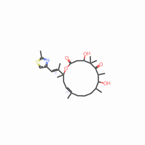 C/C1=C/CC(C)(/C(C)=C/c2csc(C)n2)OC(=O)CC(O)C(C)(C)C(=O)C(C)C(O)C(C)CCC1